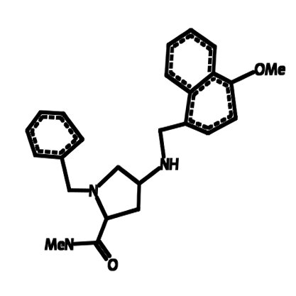 CNC(=O)C1CC(NCc2ccc(OC)c3ccccc23)CN1Cc1ccccc1